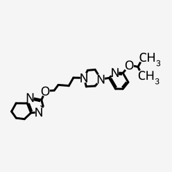 CC(C)Oc1cccc(N2CCN(CCCCOc3cnc4c(n3)CCCC4)CC2)n1